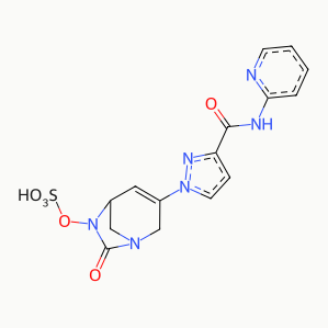 O=C(Nc1ccccn1)c1ccn(C2=CC3CN(C2)C(=O)N3OS(=O)(=O)O)n1